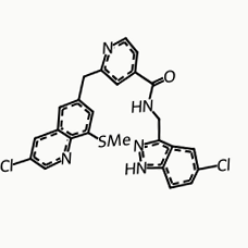 CSc1cc(Cc2cc(C(=O)NCc3n[nH]c4ccc(Cl)cc34)ccn2)cc2cc(Cl)cnc12